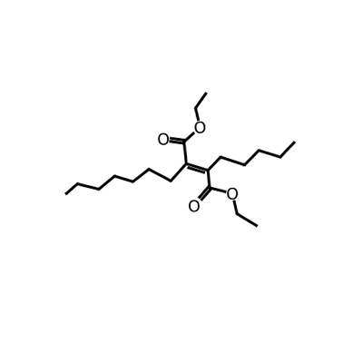 CCCCCCCC(C(=O)OCC)=C(CCCCC)C(=O)OCC